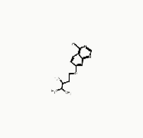 CC(C)C(N)CCOc1ccc2c(Cl)ncnc2c1